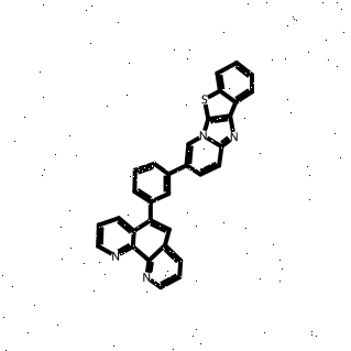 c1cc(-c2ccc3nc4c5ccccc5sc4n3c2)cc(-c2cc3cccnc3c3ncccc23)c1